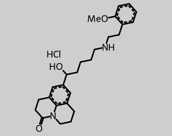 COc1ccccc1CCNCCCCC(O)c1cc2c3c(c1)CCC(=O)N3CCC2.Cl